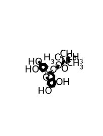 CC(C)N(C(=O)OCO[C@@H]1Cc2c(O)cc(O)cc2O[C@@H]1c1ccc(O)c(O)c1)C(C)C